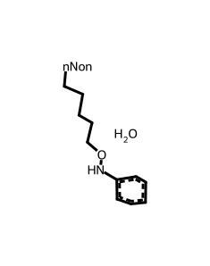 CCCCCCCCCCCCCCONc1ccccc1.O